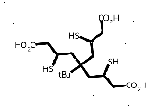 CC(C)(C)C(CC(S)CC(=O)O)(CC(S)CC(=O)O)CC(S)CC(=O)O